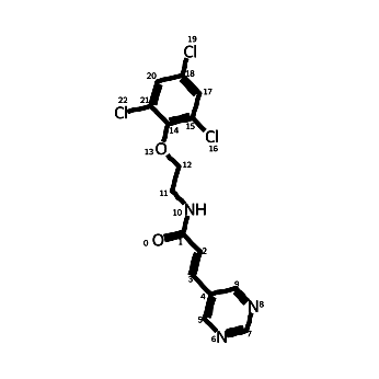 O=C(C=Cc1cncnc1)NCCOc1c(Cl)cc(Cl)cc1Cl